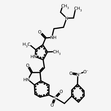 CCN(CC)CCNC(=O)c1c(C)[nH]c(/C=C2\C(=O)Nc3ccc(S(=O)(=O)Cc4cccc([N+](=O)[O-])c4)cc32)c1C